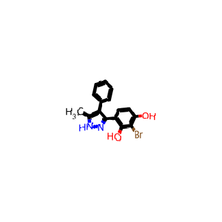 Cc1[nH]nc(-c2ccc(O)c(Br)c2O)c1-c1ccccc1